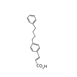 O=C(O)C=Cc1ccc(CCCCc2ccccc2)cc1